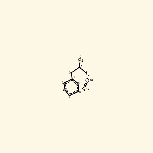 BrC(I)Cc1ccccc1.O=S